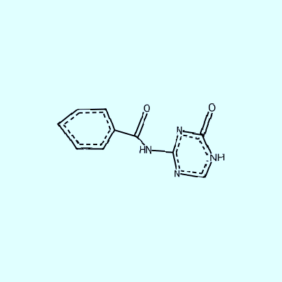 O=C(Nc1nc[nH]c(=O)n1)c1ccccc1